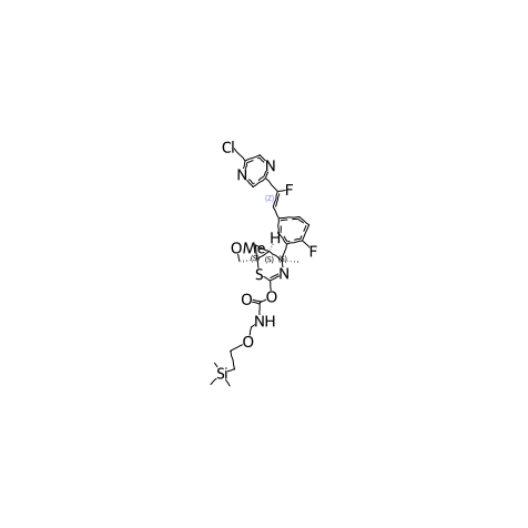 COC[C@]12C[C@H]1[C@@](C)(c1cc(/C=C(\F)c3cnc(Cl)cn3)ccc1F)N=C(OC(=O)NCOCC[Si](C)(C)C)S2